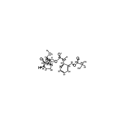 COC[C@]1(COC(=O)N(C)c2ncccc2COC(=O)C(C)(C)C)C(=O)[C@H]2CCN1[C@H](C)C2